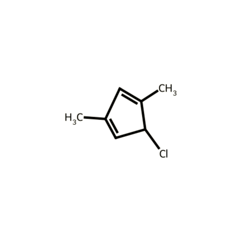 CC1=CC(Cl)C(C)=C1